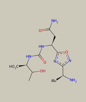 CCC(C)[C@H](N)c1noc([C@H](CC(N)=O)NC(=O)N[C@H](C(=O)O)C(C)O)n1